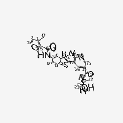 Cc1ccoc1C(=O)Nc1ccc2sc(-c3cc(C(=O)N=[SH](C)(C)O)cnc3N)cc2c1